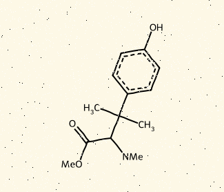 CNC(C(=O)OC)C(C)(C)c1ccc(O)cc1